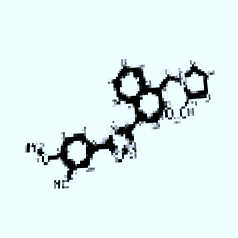 CC(C)Oc1ccc(-c2nc(-c3ccc(CN4CCC[C@H]4C(=O)O)c4ccccc34)no2)cc1C#N